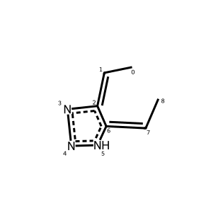 C/C=c1/nn[nH]/c1=C/C